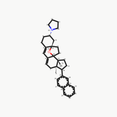 C[C@]12CC=C3C=C4CC[C@H](N5CCCC5)C[C@]45CCC3(O5)[C@@H]1CCC2c1ccc2ccccc2c1